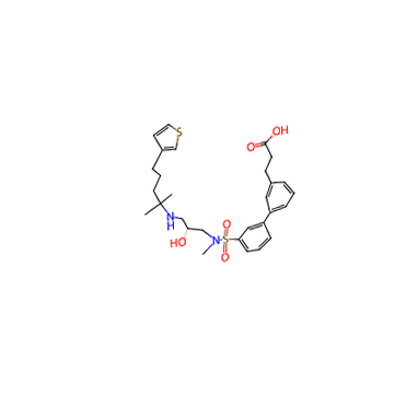 CN(C[C@H](O)CNC(C)(C)CCCc1ccsc1)S(=O)(=O)c1cccc(-c2cccc(CCC(=O)O)c2)c1